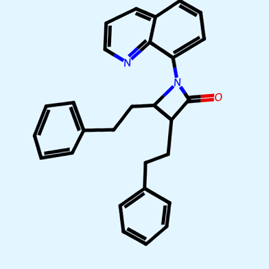 O=C1C(CCc2ccccc2)C(CCc2ccccc2)N1c1cccc2cccnc12